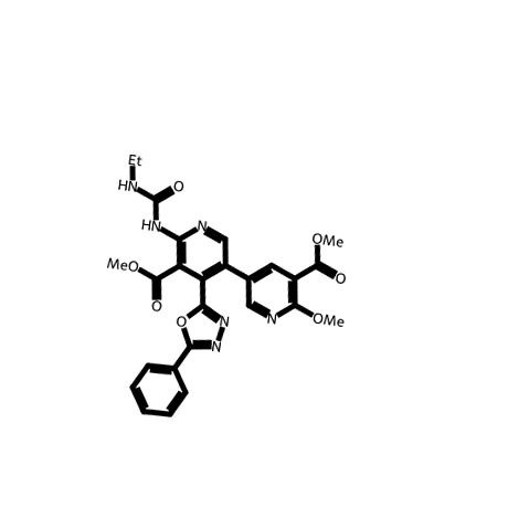 CCNC(=O)Nc1ncc(-c2cnc(OC)c(C(=O)OC)c2)c(-c2nnc(-c3ccccc3)o2)c1C(=O)OC